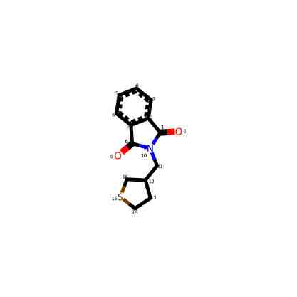 O=C1c2ccccc2C(=O)N1CC1CCSC1